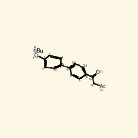 CCCCOc1ccc(-c2ccc(C(=O)CC(C)=O)cc2)cc1